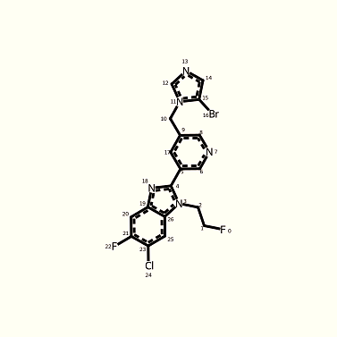 FCCn1c(-c2cncc(Cn3cncc3Br)c2)nc2cc(F)c(Cl)cc21